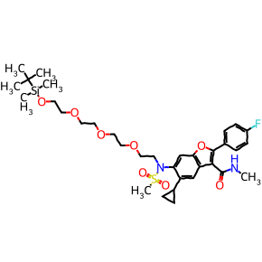 CNC(=O)c1c(-c2ccc(F)cc2)oc2cc(N(CCOCCOCCOCCO[Si](C)(C)C(C)(C)C)S(C)(=O)=O)c(C3CC3)cc12